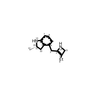 CCC1=C(Cc2cccc3c2C[C@H](C)N3)NC1